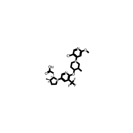 COc1cc(N2CCC(Oc3ncc(N4CC[C@@H](C)[C@@H]4CC(=O)O)cc3C(F)(F)F)C(C)C2)c(Cl)cn1